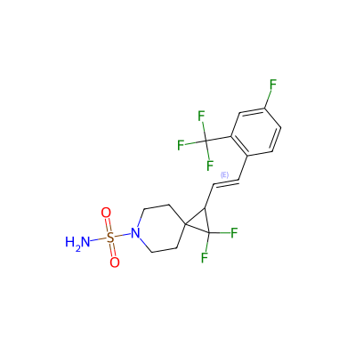 NS(=O)(=O)N1CCC2(CC1)C(/C=C/c1ccc(F)cc1C(F)(F)F)C2(F)F